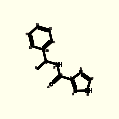 CC(NC(=O)c1nc[nH]n1)c1ccccc1